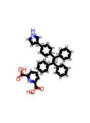 O=C(O)c1cccc(C(=O)O)n1.c1ccc(C(=C(c2ccccc2)c2ccc(-c3cc[nH]c3)cc2)c2ccccc2)cc1